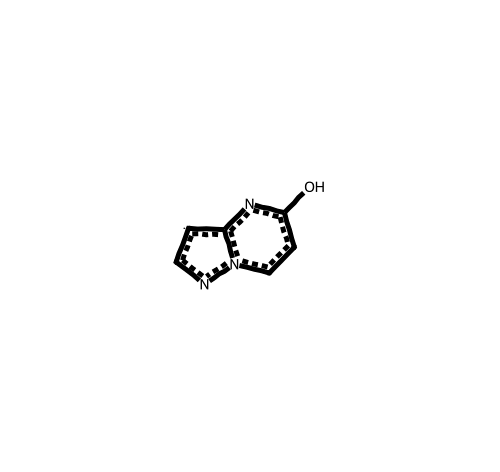 Oc1ccn2nc[c]c2n1